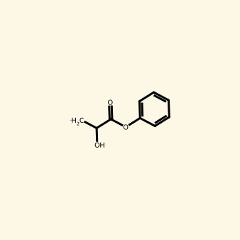 [CH2]C(O)C(=O)Oc1ccccc1